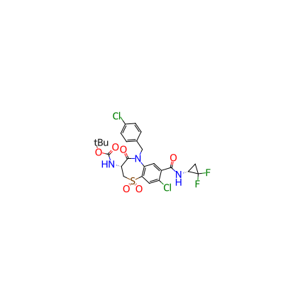 CC(C)(C)OC(=O)N[C@H]1CS(=O)(=O)c2cc(Cl)c(C(=O)N[C@@H]3CC3(F)F)cc2N(Cc2ccc(Cl)cc2)C1=O